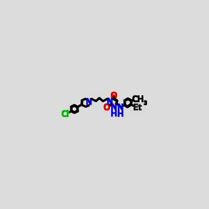 CCc1cc(Nc2cc(=O)n(CCCCCN3CC=C(c4ccc(Cl)cc4)CC3)c(=O)[nH]2)ccc1C